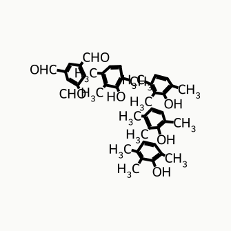 Cc1ccc(C)c(O)c1C.Cc1ccc(C)c(O)c1C.Cc1ccc(C)c(O)c1C.Cc1ccc(C)c(O)c1C.O=Cc1cc(C=O)cc(C=O)c1